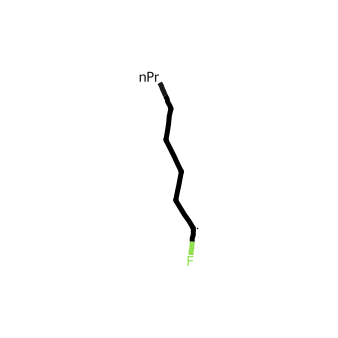 CCCCCCC[CH]F